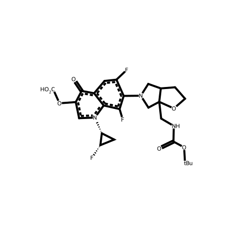 CC(C)(C)OC(=O)NCC12CN(c3c(F)cc4c(=O)c(OC(=O)O)cn([C@@H]5C[C@@H]5F)c4c3F)CC1CCO2